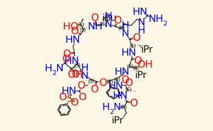 CC[C@H](C)[C@@H]1NC(=O)[C@@H](CCCNC(=N)N)NC(=O)[C@H](CC(C)C)NC(=O)[C@H]([C@H](O)C(C)C)NC(=O)[C@@H](NC(=O)[C@H](C)NC(=O)[C@H](N)CC(C)C)[C@@H](c2ccccc2)OC(=O)[C@H](COC(=O)NS(=O)(=O)c2ccccc2)NC(=O)[C@H]([C@H](O)C(N)=O)NC(=O)CNC(=O)[C@H]([C@H](C)O)NC1=O